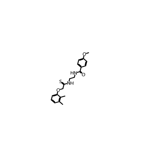 COc1ccc(C(=O)NCCNC(=S)COc2cccc(C)c2C)cc1